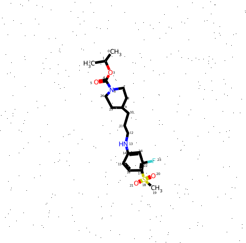 CC(C)OC(=O)N1CCC(CCCNc2ccc(S(C)(=O)=O)c(F)c2)CC1